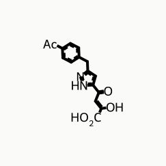 CC(=O)c1ccc(Cc2cc(C(=O)C=C(O)C(=O)O)[nH]n2)cc1